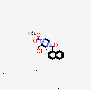 CC(C)(C)OC(=O)N1CCN(C(=O)c2cccc3ccccc23)C[C@H]1CO